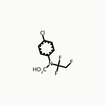 O=C(O)N(c1ccc(Cl)cc1)C(F)(F)CF